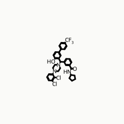 O=C(NC1CCCC1)c1cccc(C(c2cc(-c3ccc(C(F)(F)F)cc3)ccc2O)N2CCN(c3cccc(Cl)c3Cl)CC2)c1